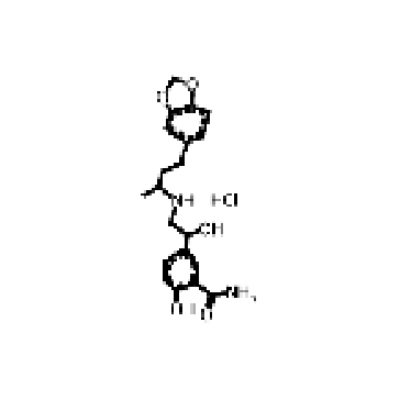 CC(CCc1ccc2c(c1)OCO2)NCC(O)c1ccc(O)c(C(N)=O)c1.Cl